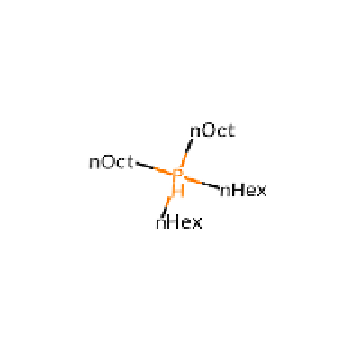 CCCCCCCC[PH](CCCCCC)(CCCCCC)CCCCCCCC